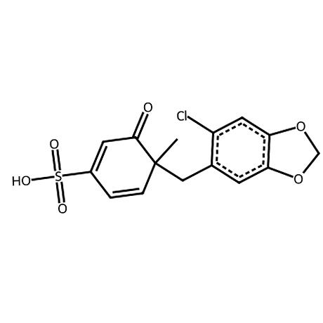 CC1(Cc2cc3c(cc2Cl)OCO3)C=CC(S(=O)(=O)O)=CC1=O